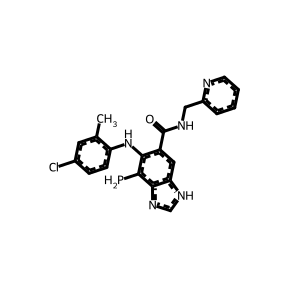 Cc1cc(Cl)ccc1Nc1c(C(=O)NCc2ccccn2)cc2[nH]cnc2c1P